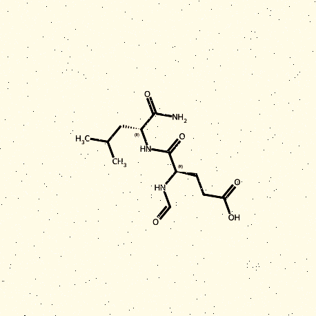 CC(C)C[C@@H](NC(=O)[C@@H](CCC(=O)O)NC=O)C(N)=O